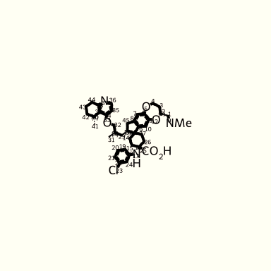 CNC[C@@H]1CCOc2cc3c(cc2O1)C1(CCC(Nc2cccc(Cl)c2)(C(=O)O)CC1)[C@@H](C[C@@H](C)COc1ccnc2c1[C@H](C)CCC2)C3